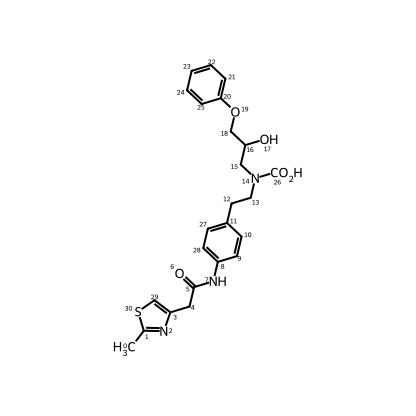 Cc1nc(CC(=O)Nc2ccc(CCN(CC(O)COc3ccccc3)C(=O)O)cc2)cs1